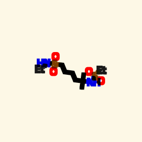 CCNS(=O)(=O)CCCCC(C)(C)NS(=O)(=O)CC